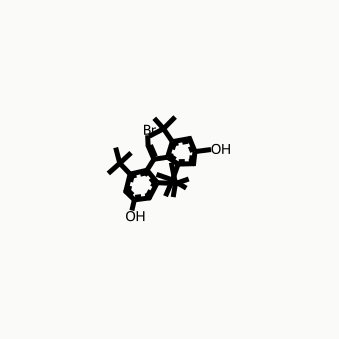 CC(C)(C)c1cc(O)cc(C(C)(C)C)c1C(=CBr)c1c(C(C)(C)C)cc(O)cc1C(C)(C)C